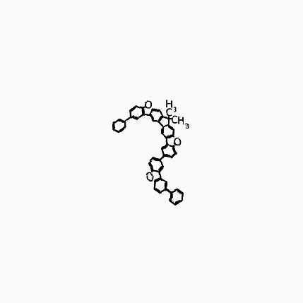 CC1(C)c2cc3oc4ccc(-c5ccccc5)cc4c3cc2-c2cc3c(cc21)oc1ccc(-c2ccc4oc5ccc(-c6ccccc6)cc5c4c2)cc13